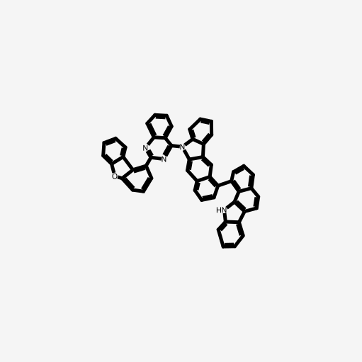 c1cc(-c2cccc3ccc4c5ccccc5[nH]c4c23)c2cc3c4ccccc4n(-c4nc(-c5cccc6oc7ccccc7c56)nc5ccccc45)c3cc2c1